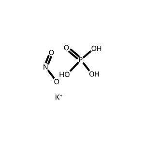 O=N[O-].O=P(O)(O)O.[K+]